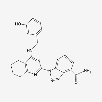 NC(=O)c1cccc2c1cnn2-c1nc2c(c(NCc3cccc(O)c3)n1)CCCC2